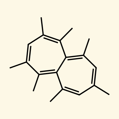 CC1=CC(C)=C2C(C)=C(C)C=C(C)C(C)=C2C(C)=C1